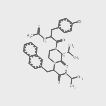 CC(=O)NC(Cc1ccc(Cl)cc1)C(=O)N1CCN(C(Cc2ccc3ccccc3c2)C(=O)NC(C)C)C(=O)[C@H]1C(C)C